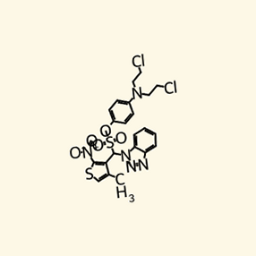 Cc1csc([N+](=O)[O-])c1C(n1nnc2ccccc21)S(=O)(=O)Oc1ccc(N(CCCl)CCCl)cc1